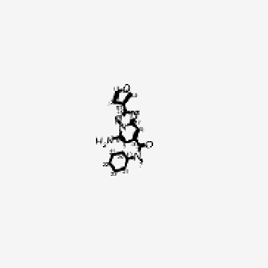 CN(C(=O)c1cc(N)n2nc(-c3ccoc3)nc2c1)C1CCCCC1